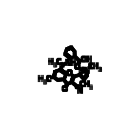 Cc1cc([C@@H](C)Nc2ccccc2C(=O)O)c2oc(-c3nn(C)cc3C)c(C#N)c(=O)c2c1